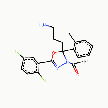 Cc1ccccc1C1(CCCN)OC(c2cc(F)ccc2F)=NN1C(=O)C(C)C